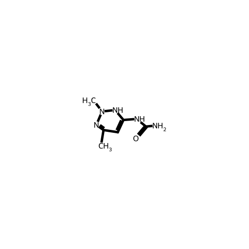 CC1=NN(C)NC(NC(N)=O)=C1